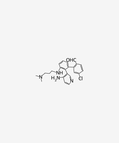 CN(C)CCCNc1cccc(-c2cc(Cl)ccc2C=O)c1-c1cnccc1N